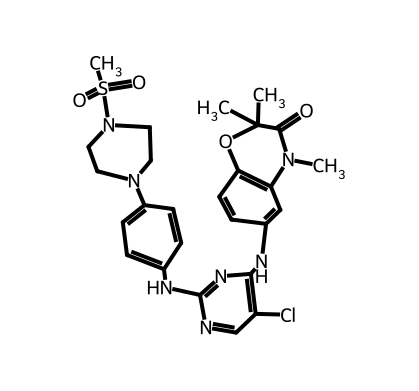 CN1C(=O)C(C)(C)Oc2ccc(Nc3nc(Nc4ccc(N5CCN(S(C)(=O)=O)CC5)cc4)ncc3Cl)cc21